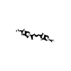 CC(C)c1nc2c(s1)CN(C(C)CCCc1nc3c(s1)CN(C(C)C)C3)C2